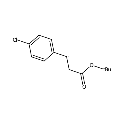 CC(C)(C)OC(=O)C[CH]c1ccc(Cl)cc1